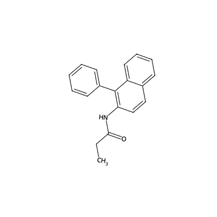 CCC(=O)Nc1ccc2ccccc2c1-c1ccccc1